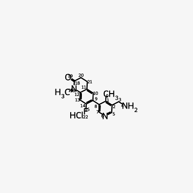 Cc1c(CN)cncc1-c1cc2c(cc1F)N(C)C(=O)CC2.Cl